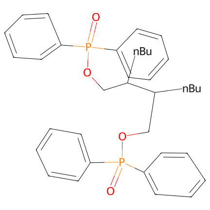 CCCCC(COP(=O)(c1ccccc1)c1ccccc1)C(CCCC)COP(=O)(c1ccccc1)c1ccccc1